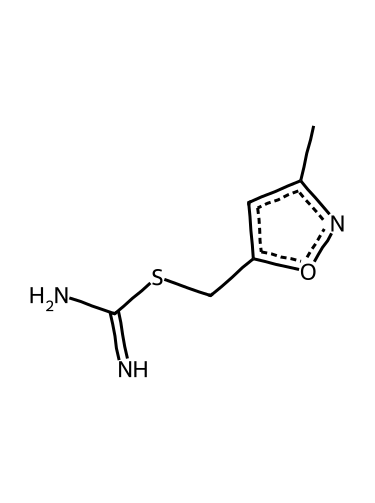 Cc1cc(CSC(=N)N)on1